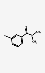 CN(C)C(=O)c1cccc(Cl)c1